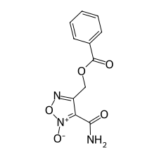 NC(=O)c1c(COC(=O)c2ccccc2)no[n+]1[O-]